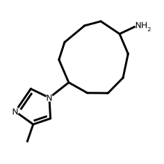 Cc1cn(C2CCCCC(N)CCCC2)cn1